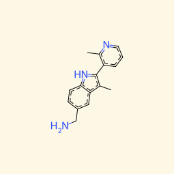 Cc1ncccc1-c1[nH]c2ccc(CN)cc2c1C